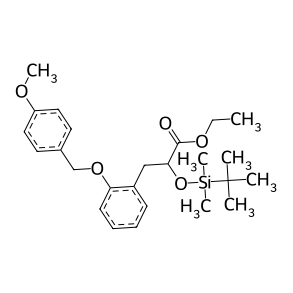 CCOC(=O)C(Cc1ccccc1OCc1ccc(OC)cc1)O[Si](C)(C)C(C)(C)C